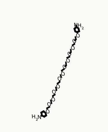 Nc1ccc(OCCOCCOCCOCCOCCOCCOCCOCCOCCOCCOCCOCCOc2ccc(N)cc2)cc1